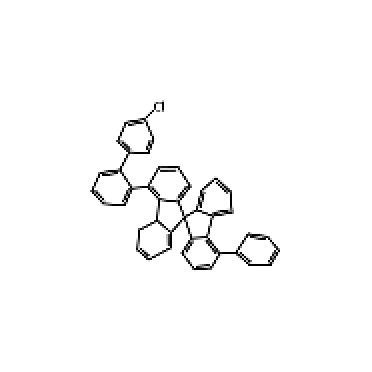 Clc1ccc(-c2ccccc2-c2cccc3c2C2CC=CC=C2C32c3ccccc3-c3c(-c4ccccc4)cccc32)cc1